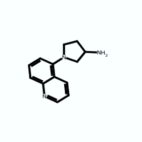 NC1CCN(c2cccc3ncccc23)C1